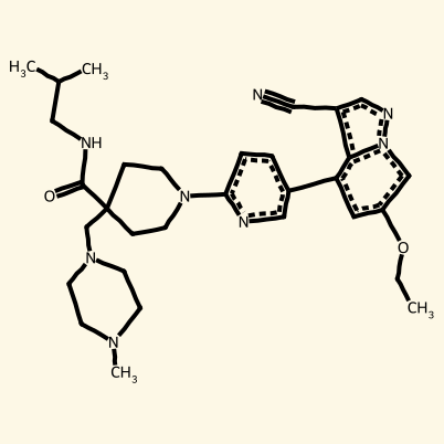 CCOc1cc(-c2ccc(N3CCC(CN4CCN(C)CC4)(C(=O)NCC(C)C)CC3)nc2)c2c(C#N)cnn2c1